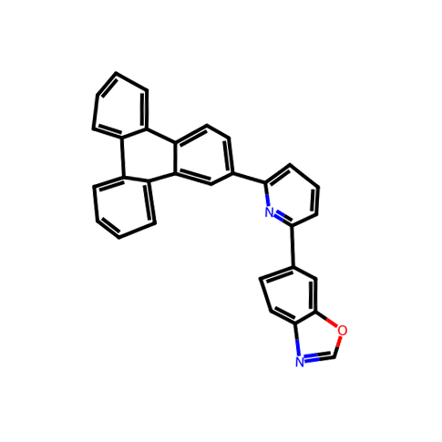 c1cc(-c2ccc3ncoc3c2)nc(-c2ccc3c4ccccc4c4ccccc4c3c2)c1